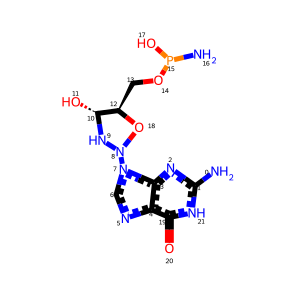 Nc1nc2c(ncn2N2N[C@H](O)[C@@H](COP(N)O)O2)c(=O)[nH]1